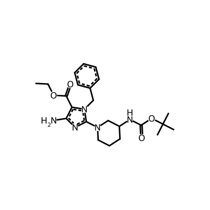 CCOC(=O)c1c(N)nc(N2CCCC(NC(=O)OC(C)(C)C)C2)n1Cc1ccccc1